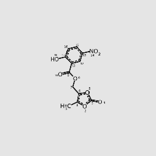 Cc1oc(=O)oc1COC(=O)c1cc([N+](=O)[O-])ccc1O